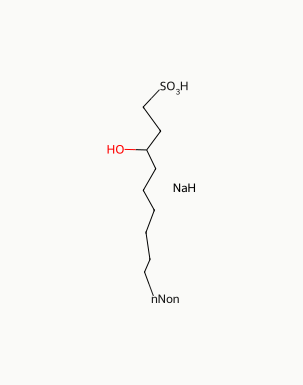 CCCCCCCCCCCCCCCC(O)CCS(=O)(=O)O.[NaH]